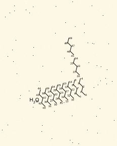 CCCCC.CCCCC.CCCCC.CCCCC.CCCCC.CCCCC.CCCCC.CCCCC.CCCCC.CCCCC.O